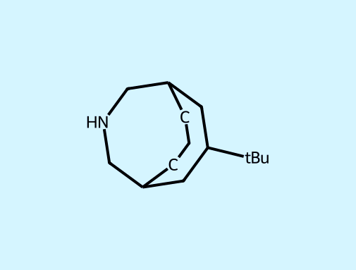 CC(C)(C)C1CC2CCCC(CNC2)C1